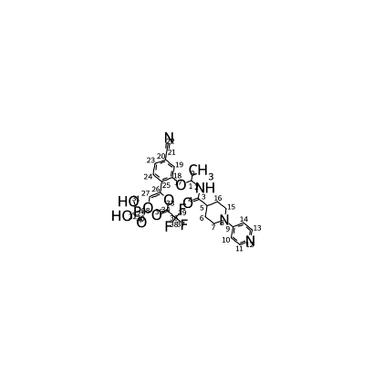 CC(NC(=O)C1CCN(c2ccncc2)CC1)Oc1cc(C#N)ccc1C(=COP(=O)(O)O)OC(=O)C(F)(F)F